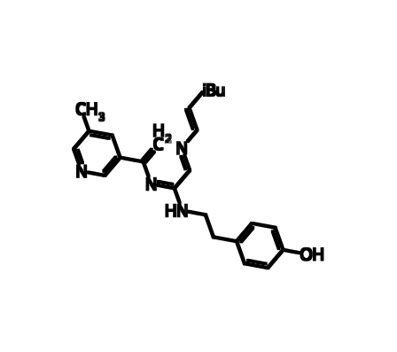 C=C(\N=C(/C=N/C=C/C(C)CC)NCCc1ccc(O)cc1)c1cncc(C)c1